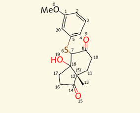 COc1cccc(SC2C(=O)CC[C@]3(C)C(=O)CCC23O)c1